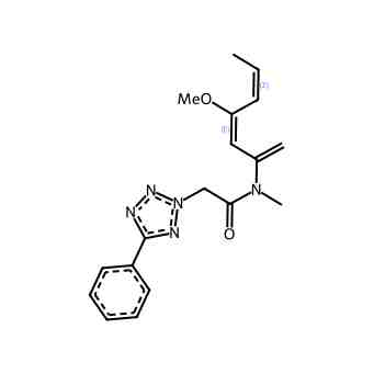 C=C(/C=C(\C=C/C)OC)N(C)C(=O)Cn1nnc(-c2ccccc2)n1